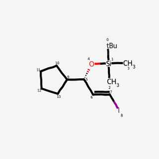 CC(C)(C)[Si](C)(C)O[C@H](C=CI)C1CCCC1